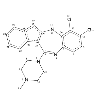 CN1CCN(C2=Nc3ccc(Cl)c(Cl)c3Nc3sc4ccccc4c32)CC1